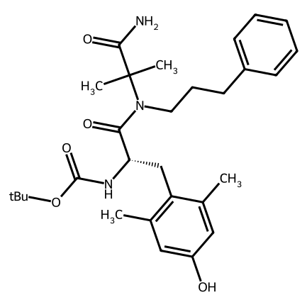 Cc1cc(O)cc(C)c1C[C@H](NC(=O)OC(C)(C)C)C(=O)N(CCCc1ccccc1)C(C)(C)C(N)=O